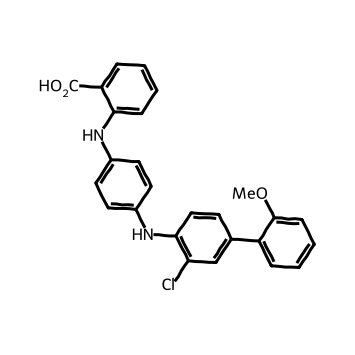 COc1ccccc1-c1ccc(Nc2ccc(Nc3ccccc3C(=O)O)cc2)c(Cl)c1